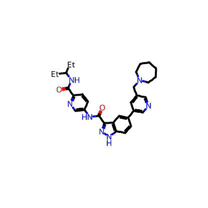 CCC(CC)NC(=O)c1ccc(NC(=O)c2n[nH]c3ccc(-c4cncc(CN5CCCCCC5)c4)cc23)cn1